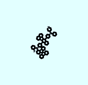 Fc1ccccc1N(c1ccc(-c2c3c(c(-c4ccc(N(c5ccccc5)c5ccncc5)cc4)c4ccccc24)-c2cccc4cccc-3c24)cc1)c1cccc2c1-c1ccccc1C21c2ccccc2-c2ccccc21